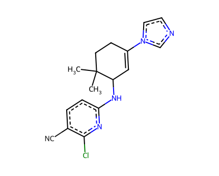 CC1(C)CCC(n2ccnc2)=CC1Nc1ccc(C#N)c(Cl)n1